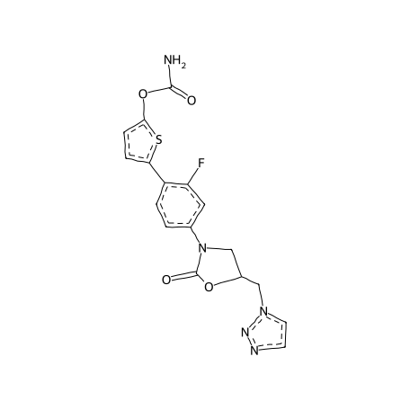 NC(=O)Oc1ccc(-c2ccc(N3CC(Cn4ccnn4)OC3=O)cc2F)s1